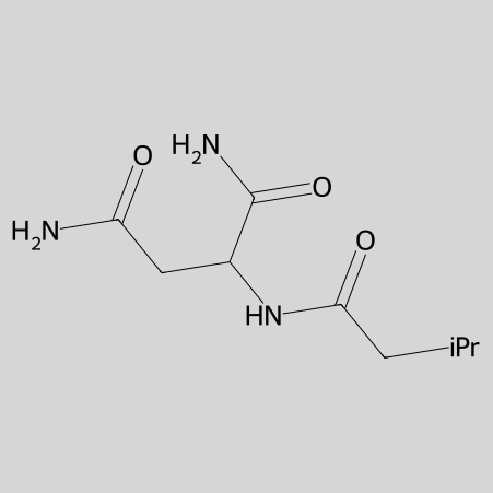 CC(C)CC(=O)NC(CC(N)=O)C(N)=O